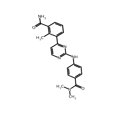 Cc1c(C(N)=O)cccc1-c1ccnc(Nc2ccc(C(=O)N(C)C)cc2)n1